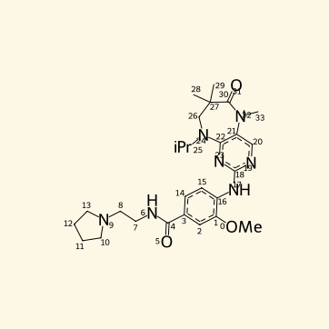 COc1cc(C(=O)NCCN2CCCC2)ccc1Nc1ncc2c(n1)N(C(C)C)CC(C)(C)C(=O)N2C